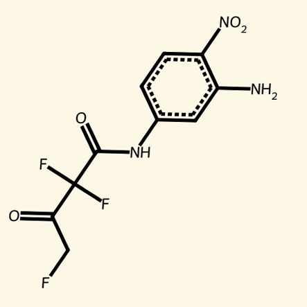 Nc1cc(NC(=O)C(F)(F)C(=O)CF)ccc1[N+](=O)[O-]